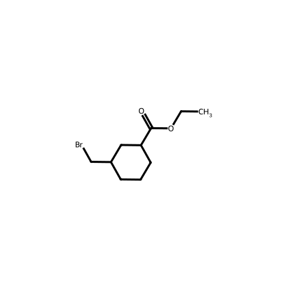 CCOC(=O)C1CCCC(CBr)C1